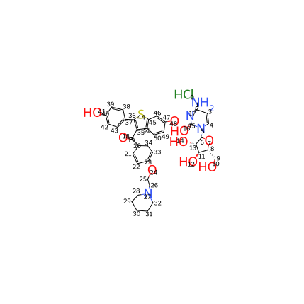 Cl.Nc1ccn([C@@H]2O[C@H](CO)[C@@H](O)[C@@H]2O)c(=O)n1.O=C(c1ccc(OCCN2CCCCC2)cc1)c1c(-c2ccc(O)cc2)sc2cc(O)ccc12